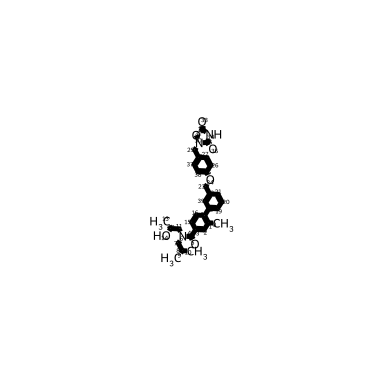 Cc1cc(C(=O)N(CC(C)C)CC(C)O)ccc1-c1cccc(COc2ccc(Cn3oc(=O)[nH]c3=O)cc2)c1